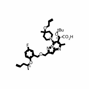 C=CCOC1(C)CCN(c2c([C@H](OC(C)(C)C)C(=O)O)c(C)nc3cc(COCc4cc(F)ccc4O[C@@H](C)CC=C)nn23)CC1